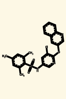 Cc1cc(C)c(S(=O)(=O)Nc2cnc(Oc3cnc4ccccc4c3)c(Cl)c2)c(C)c1